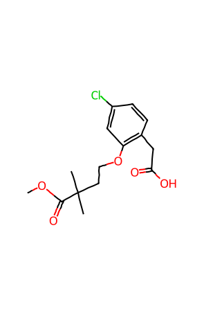 COC(=O)C(C)(C)CCOc1cc(Cl)ccc1CC(=O)O